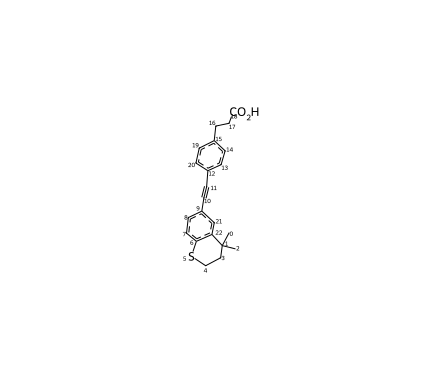 CC1(C)CCSc2ccc(C#Cc3ccc(CCC(=O)O)cc3)cc21